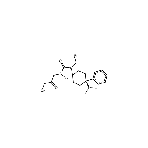 CC(C)CN1C(=O)N(CC(=O)CO)C[C@]12CC[C@](c1ccccc1)(N(C)C)CC2